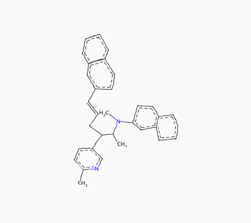 Cc1ccc(C(C/C=C/c2ccc3ccccc3c2)C(C)N(C)c2ccc3ccccc3c2)cn1